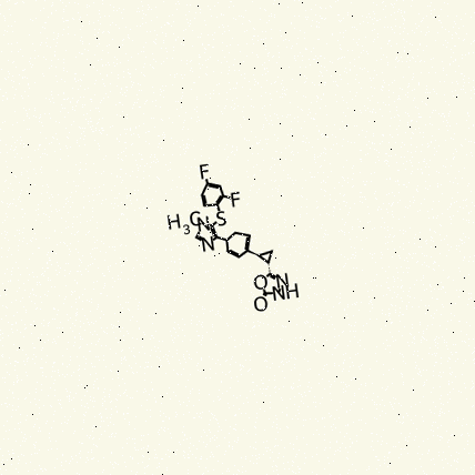 Cn1cnc(C2C=CC([C@H]3C[C@@H]3c3n[nH]c(=O)o3)=CC2)c1Sc1ccc(F)cc1F